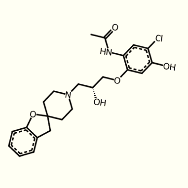 CC(=O)Nc1cc(Cl)c(O)cc1OC[C@H](O)CN1CCC2(CC1)Cc1ccccc1O2